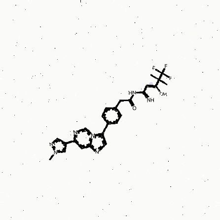 Cn1cc(-c2cc3ncc(-c4ccc(CC(=O)NC(=N)/C=C(\O)C(C)(C)C(F)(F)F)cc4)n3cn2)cn1